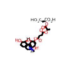 CC(OC(=O)CCC(=O)OC1=CC[C@@]2(O)[C@H]3Cc4ccc(O)c5c4[C@@]2(CCN3C)[C@H]1O5)C(=O)OC(CC(=O)O)C(=O)O